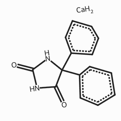 O=C1NC(=O)C(c2ccccc2)(c2ccccc2)N1.[CaH2]